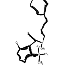 CN(C/C=C/c1ccccc1)C(=O)c1c(Cl)cccc1[Si](C)(C)C